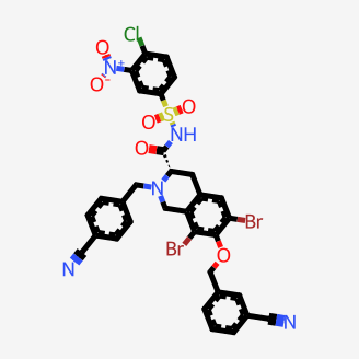 N#Cc1ccc(CN2Cc3c(cc(Br)c(OCc4cccc(C#N)c4)c3Br)C[C@H]2C(=O)NS(=O)(=O)c2ccc(Cl)c([N+](=O)[O-])c2)cc1